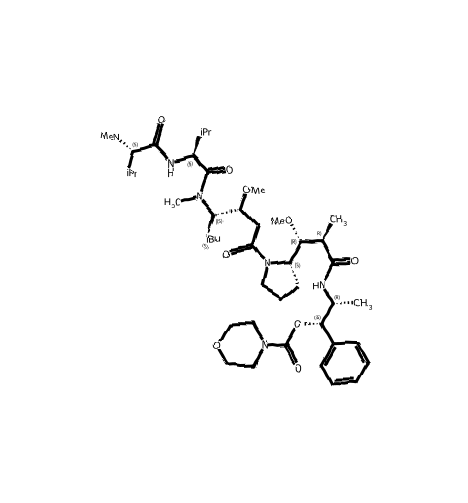 CC[C@H](C)[C@@H](C(CC(=O)N1CCC[C@H]1[C@H](OC)[C@@H](C)C(=O)N[C@H](C)[C@@H](OC(=O)N1CCOCC1)c1ccccc1)OC)N(C)C(=O)[C@@H](NC(=O)[C@@H](NC)C(C)C)C(C)C